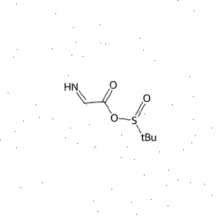 CC(C)(C)S(=O)OC(=O)C=N